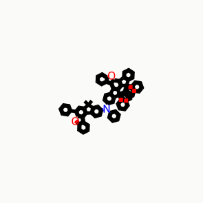 CC1(C)c2cc(N(c3ccccc3)c3ccc4c(c3)C(c3ccccc3)(c3ccccc3)c3c5c(c6oc7ccccc7c6c3-4)-c3ccccc3C5(c3ccccc3)c3ccccc3)ccc2-c2c1cc(-c1ccccc1)c1oc3ccccc3c21